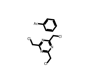 CC(=O)c1ccccc1.ClCc1nc(CCl)nc(CCl)n1